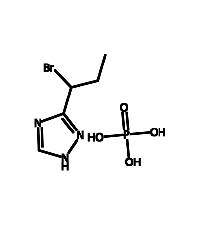 CCC(Br)c1nc[nH]n1.O=P(O)(O)O